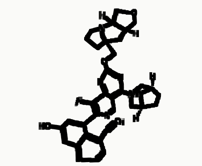 C#Cc1cccc2cc(O)cc(-c3ncc4c(N5C[C@H]6CC[C@@H](C5)N6)nc(OC[C@@]56CCCN5[C@@H]5COC[C@@H]5C6)nc4c3F)c12